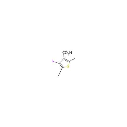 Cc1sc(C)c(C(=O)O)c1I